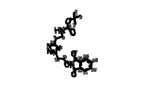 CC(C)(C)OC(=O)NCCc1nnn(CCON2C(=O)c3ccccc3C2=O)n1